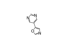 [c]1ncc(-c2cnco2)cn1